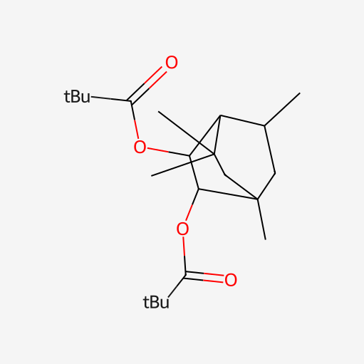 CC1CC2(C)CC(C)(C)C1C(OC(=O)C(C)(C)C)C2OC(=O)C(C)(C)C